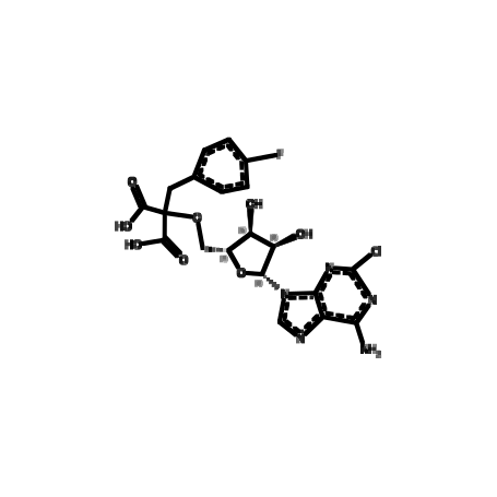 Nc1nc(Cl)nc2c1ncn2[C@@H]1O[C@H](COC(Cc2ccc(F)cc2)(C(=O)O)C(=O)O)[C@@H](O)[C@H]1O